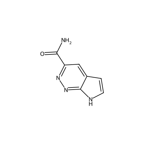 NC(=O)c1cc2cc[nH]c2nn1